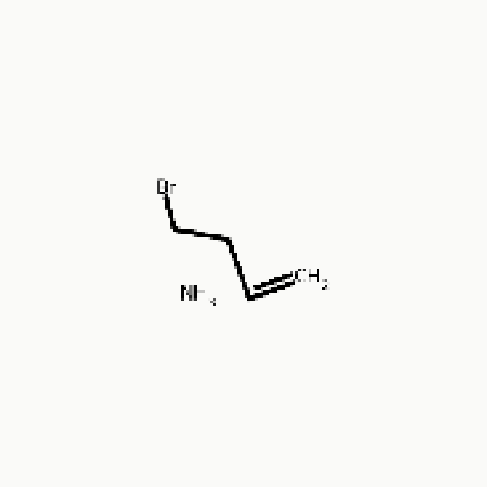 C=CCCBr.N